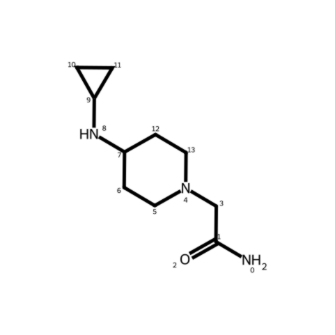 NC(=O)CN1CCC(NC2CC2)CC1